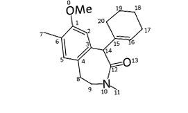 COc1cc2c(cc1C)CCN(C)C(=O)C2C1=CCCCC1